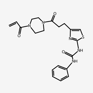 C=CC(=O)N1CCN(C(=O)CCc2csc(NC(=O)Nc3ccccc3)n2)CC1